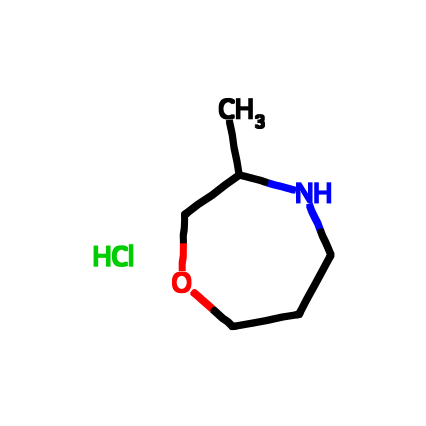 CC1COCCCN1.Cl